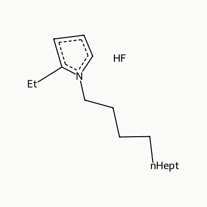 CCCCCCCCCCCn1cccc1CC.F